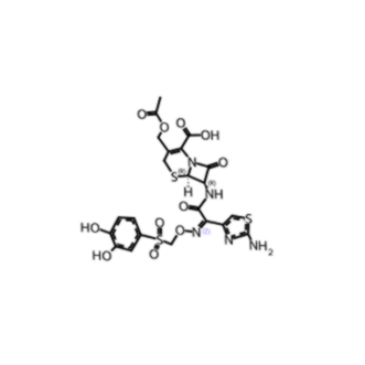 CC(=O)OCC1=C(C(=O)O)N2C(=O)[C@@H](NC(=O)/C(=N\OCS(=O)(=O)c3ccc(O)c(O)c3)c3csc(N)n3)[C@H]2SC1